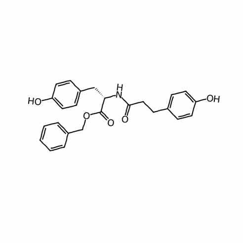 O=C(CCc1ccc(O)cc1)N[C@@H](Cc1ccc(O)cc1)C(=O)OCc1ccccc1